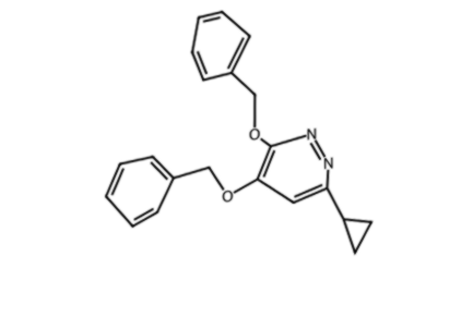 c1ccc(COc2cc(C3CC3)nnc2OCc2ccccc2)cc1